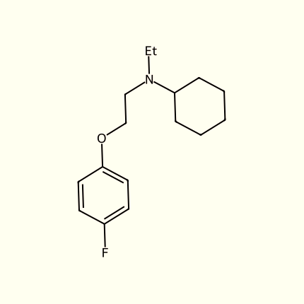 CCN(CCOc1ccc(F)cc1)C1CCCCC1